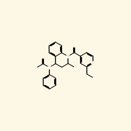 CCc1cc(C(=O)N2c3ccccc3C(N(C(C)=O)c3ccccc3)CC2C)ccn1